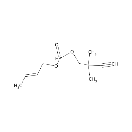 C#CC(C)(C)CO[PH](=O)OCC=CC